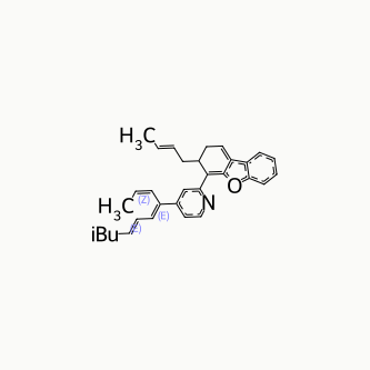 CC=CCC1CC=c2c(oc3ccccc23)=C1c1cc(C(/C=C\C)=C/C=C/C(C)CC)ccn1